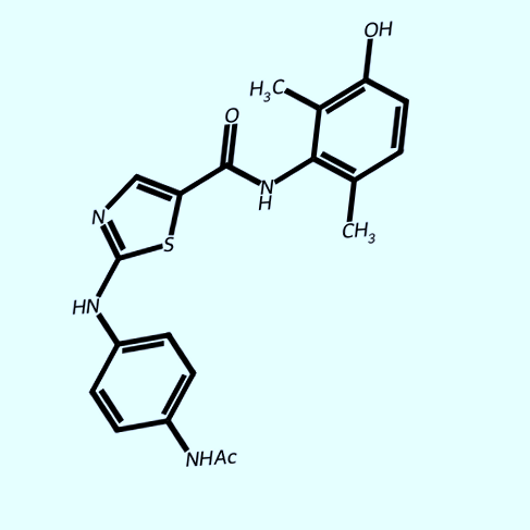 CC(=O)Nc1ccc(Nc2ncc(C(=O)Nc3c(C)ccc(O)c3C)s2)cc1